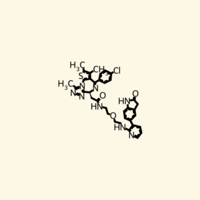 Cc1sc2c(c1C)C(c1ccc(Cl)cc1)=N[C@@H](CC(=O)NCCOCCNc1ncccc1-c1ccc3c(c1)CC(=O)N3)c1nnc(C)n1-2